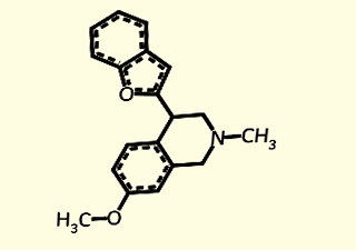 COc1ccc2c(c1)CN(C)CC2c1cc2ccccc2o1